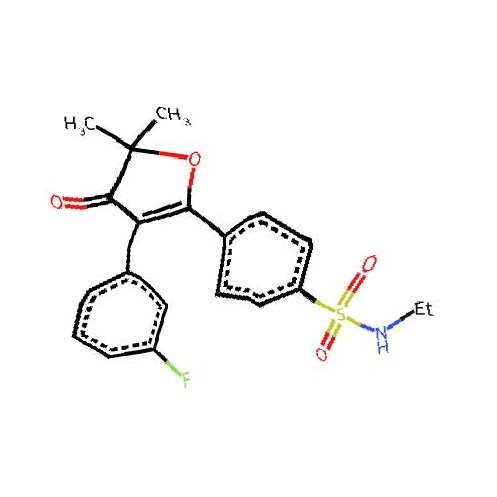 CCNS(=O)(=O)c1ccc(C2=C(c3cccc(F)c3)C(=O)C(C)(C)O2)cc1